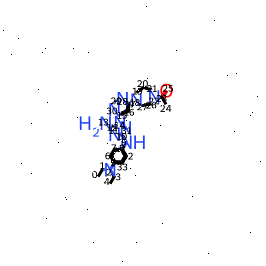 CCN(CC)c1ccc(Nc2nc(N)n(-c3cc(N4CCCN(C(C)=O)CC4)ncn3)n2)cc1